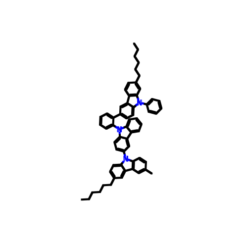 CCCCCCc1ccc2c(c1)c1cc(C)ccc1n2-c1ccc2c(c1)c1ccccc1n2-c1ccccc1-c1ccc2c(c1)c1ccc(CCCCCC)cc1n2-c1ccccc1